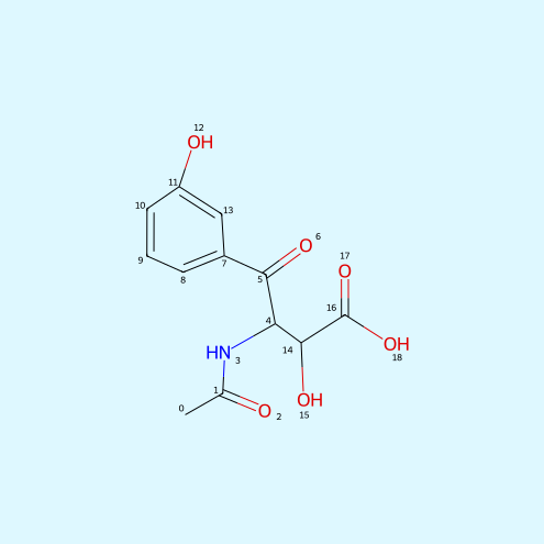 CC(=O)NC(C(=O)c1cccc(O)c1)C(O)C(=O)O